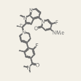 CNc1cc(=O)n(-c2ccnc3c2cc([C@H](C)N2CC=C(c4c(C)cc(C(=O)N(C)C)cc4F)CC2)n3C)cc1F